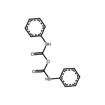 O=C(Bc1ccccc1)OC(=O)Bc1ccccc1